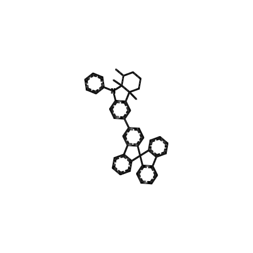 CC1CCCC2(C)c3cc(-c4ccc5c(c4)-c4ccccc4C54c5ccccc5-c5ccccc54)ccc3N(c3ccccc3)C12C